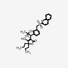 CCCC1(CCC)OC(=O)C(C(c2cccc(CS(=O)(=O)c3ccc4ccccc4n3)c2)C(C)(C)C)=C1O